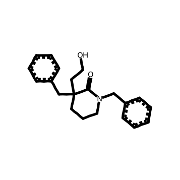 O=C1N(Cc2ccccc2)CCCC1(CCO)Cc1ccccc1